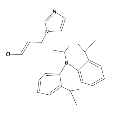 CC(C)B(c1ccccc1C(C)C)c1ccccc1C(C)C.ClC=CCn1ccnc1